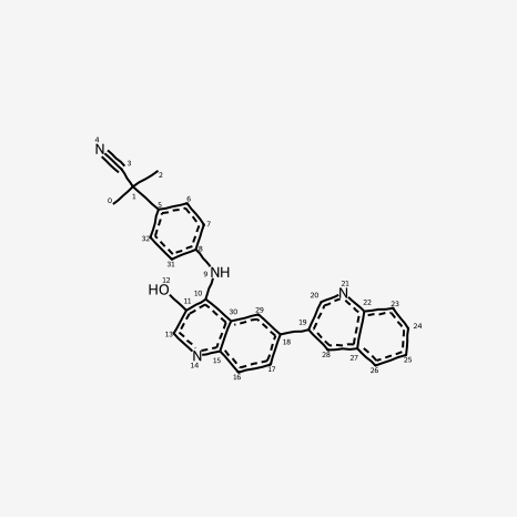 CC(C)(C#N)c1ccc(Nc2c(O)cnc3ccc(-c4cnc5ccccc5c4)cc23)cc1